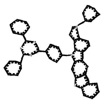 c1ccc(-c2nc(-c3ccccc3)nc(-c3ccc(-n4c5cc6sc7ccccc7c6cc5c5ccc6c(ccn6-c6ccccc6)c54)cc3)n2)cc1